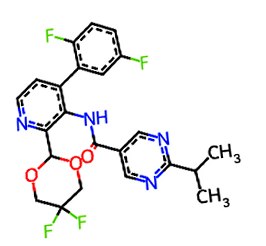 CC(C)c1ncc(C(=O)Nc2c(-c3cc(F)ccc3F)ccnc2C2OCC(F)(F)CO2)cn1